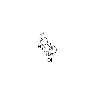 C=C[C@@]1(C)CC=C2[C@@H](CC[C@@H]3[C@](C)(CO)CCC[C@@]23C)C1